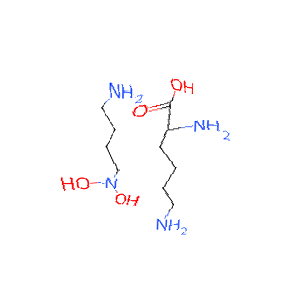 NCCCCC(N)C(=O)O.NCCCCN(O)O